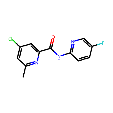 Cc1cc(Cl)cc(C(=O)Nc2ccc(F)cn2)n1